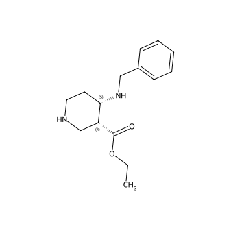 CCOC(=O)[C@@H]1CNCC[C@@H]1NCc1ccccc1